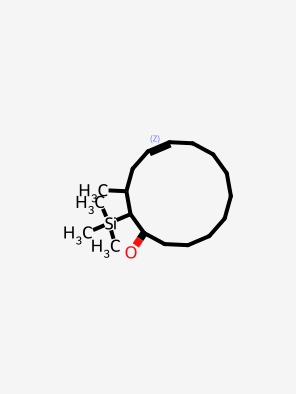 CC1C/C=C\CCCCCCCCC(=O)C1[Si](C)(C)C